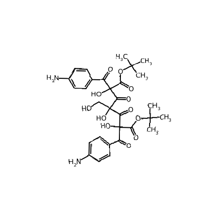 CC(C)(C)OC(=O)C(O)(C(=O)c1ccc(N)cc1)C(=O)C(O)(CO)C(=O)C(O)(C(=O)OC(C)(C)C)C(=O)c1ccc(N)cc1